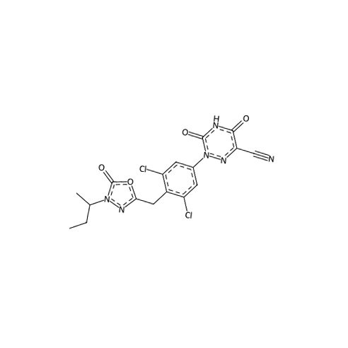 CCC(C)n1nc(Cc2c(Cl)cc(-n3nc(C#N)c(=O)[nH]c3=O)cc2Cl)oc1=O